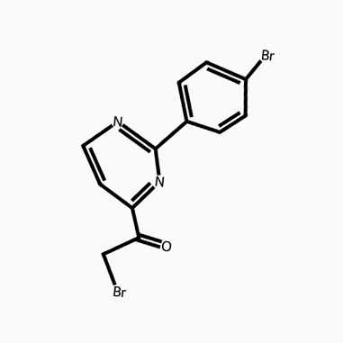 O=C(CBr)c1ccnc(-c2ccc(Br)cc2)n1